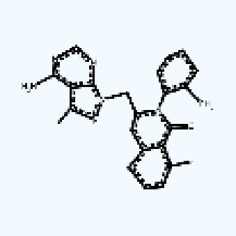 Nc1ncnc2c1c(I)nn2Cc1cc2cccc(F)c2c(=O)n1-c1ccccc1P